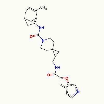 CC1=CCC2CC(NC(=O)N3CCC4(CC3)CC4CNC(=O)c3cc4ccncc4o3)=C1C2